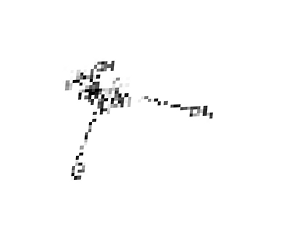 CCCCCCCCCCCCCC[C@@H](O)[C@@H](O)[C@H](COC1OC(CO)C(O)C(O)C1O)NC1(CCCCCCCCCCC2CCOC2)COC1